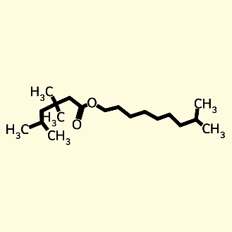 CC(C)CCCCCCCOC(=O)CC(C)(C)CC(C)C